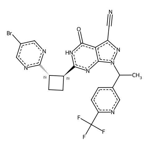 CC(c1ccc(C(F)(F)F)nc1)n1nc(C#N)c2c(=O)[nH]c([C@H]3CC[C@@H]3c3ncc(Br)cn3)nc21